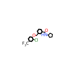 O=C(NC1CCCC1)c1cccc(COc2ccc(C(F)(F)F)cc2Cl)c1